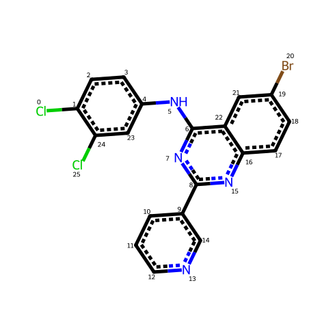 Clc1ccc(Nc2nc(-c3cccnc3)nc3ccc(Br)cc23)cc1Cl